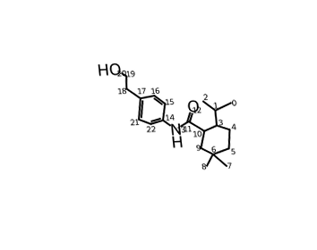 CC(C)C1CCC(C)(C)CC1C(=O)Nc1ccc(CCO)cc1